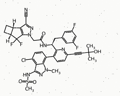 Cn1nc(NS(C)(=O)=O)c2c(Cl)ccc(-c3ccc(C#CC(C)(C)O)nc3[C@H](Cc3cc(F)cc(F)c3)NC(=O)Cn3nc(C#N)c4c3C(F)(F)[C@@H]3CC[C@H]43)c21